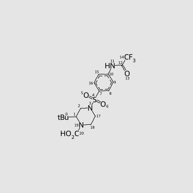 CC(C)(C)C1CN(S(=O)(=O)c2ccc(NC(=O)C(F)(F)F)cc2)CCN1C(=O)O